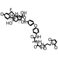 C[C@H](NC(=O)CCN1C(=O)C=CC1=O)C(=O)N[C@@H](C)C(=O)Nc1ccc(Oc2ccc([C@@H]3O[C@@H]4C[C@H]5[C@@H]6C[C@H](F)C7=CC(=O)C=C[C@]7(C)[C@@]6(F)[C@@H](O)C[C@]5(C)[C@]4(C(=O)CO)O3)cc2)cc1